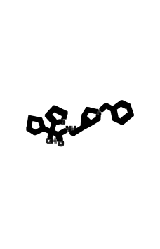 O=C(NCC1C2CN(Cc3ccccc3)CC12)C(O)(c1cccs1)C1CCCC1